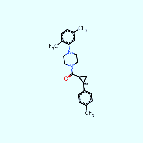 O=C(C1C[C@H]1c1ccc(C(F)(F)F)cc1)N1CCN(c2cc(C(F)(F)F)ccc2C(F)(F)F)CC1